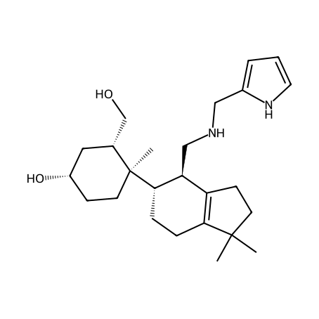 CC1(C)CCC2=C1CC[C@H]([C@@]1(C)CC[C@H](O)C[C@@H]1CO)[C@H]2CNCc1ccc[nH]1